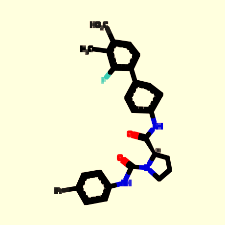 Cc1c(C(=O)O)ccc(-c2ccc(NC(=O)[C@H]3CCCN3C(=O)Nc3ccc(C(C)C)cc3)cc2)c1F